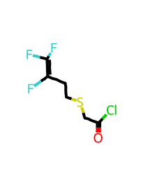 O=C(Cl)CSCCC(F)=C(F)F